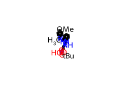 COc1ccc(N(C)c2nc(NCCOP(=O)(O)OC(C)(C)C)nc3ccccc23)cc1